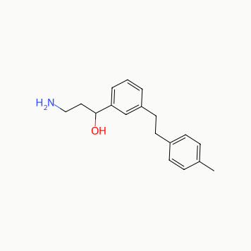 Cc1ccc(CCc2cccc(C(O)CCN)c2)cc1